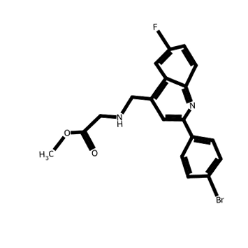 COC(=O)CNCc1cc(-c2ccc(Br)cc2)nc2ccc(F)cc12